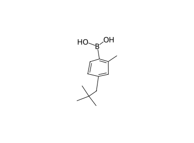 Cc1cc(CC(C)(C)C)ccc1B(O)O